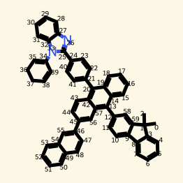 CC1(C)c2ccccc2-c2ccc(-c3c4ccccc4c(-c4ccc(-c5nc6ccccc6n5C5=CCCC=C5)cc4)c4ccc(-c5ccc6ccccc6c5)cc34)cc21